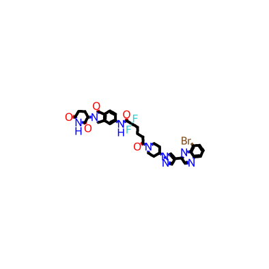 O=C1CCC(N2Cc3cc(NC(=O)C(F)(F)CCCC(=O)N4CCC(n5cc(-c6cnc7cccc(Br)c7n6)cn5)CC4)ccc3C2=O)C(=O)N1